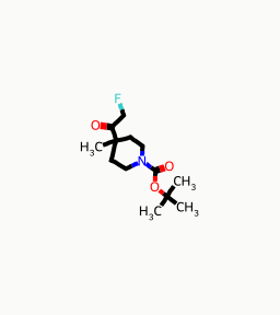 CC(C)(C)OC(=O)N1CCC(C)(C(=O)CF)CC1